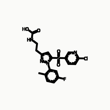 Cc1ccc(F)cc1-n1nc(CCNC(=O)O)cc1S(=O)(=O)c1ccc(Cl)nc1